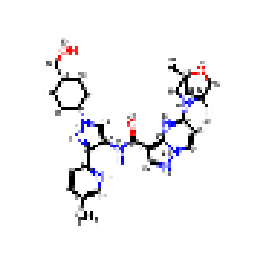 Cc1ccc(-c2nn([C@H]3CC[C@H](CO)CC3)cc2NC(=O)c2cnn3ccc(N4C[C@H]5C[C@@H]4CO5)nc23)nc1